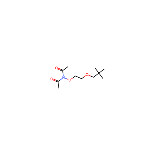 CC(=O)N(OCCOCC(C)(C)C)C(C)=O